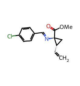 C=C[C@H]1C[C@@]1(N=Cc1ccc(Cl)cc1)C(=O)OC